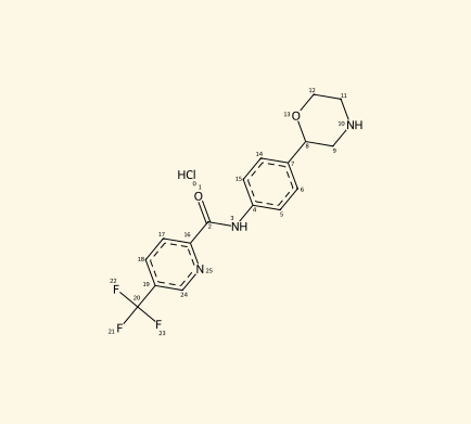 Cl.O=C(Nc1ccc(C2CNCCO2)cc1)c1ccc(C(F)(F)F)cn1